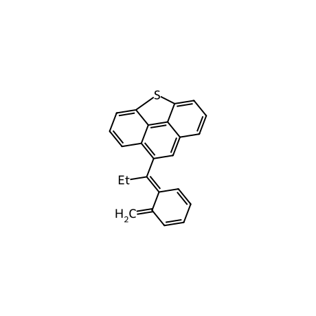 C=c1cccc/c1=C(/CC)c1cc2cccc3sc4cccc1c4c23